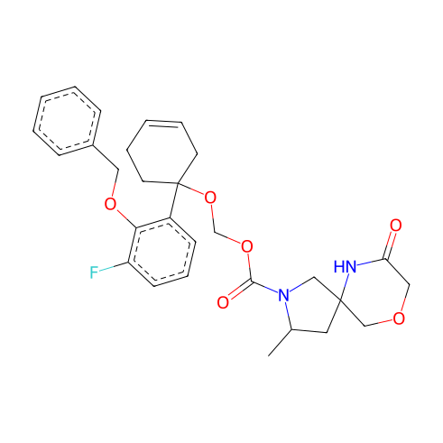 CC1CC2(COCC(=O)N2)CN1C(=O)OCOC1(c2cccc(F)c2OCc2ccccc2)CC=CCC1